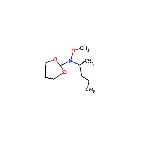 CCCC(C)N(OC)C1OCCCO1